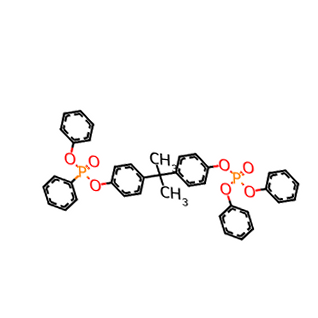 CC(C)(c1ccc(OP(=O)(Oc2ccccc2)Oc2ccccc2)cc1)c1ccc(OP(=O)(Oc2ccccc2)c2ccccc2)cc1